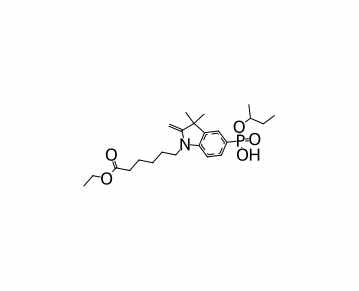 C=C1N(CCCCCC(=O)OCC)c2ccc(P(=O)(O)OC(C)CC)cc2C1(C)C